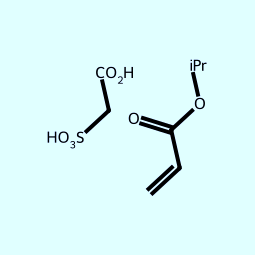 C=CC(=O)OC(C)C.O=C(O)CS(=O)(=O)O